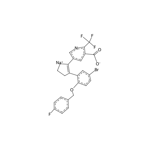 O=C([O-])c1cc(C2=C(c3cc(Br)ccc3OCc3ccc(F)cc3)CCC2)cnc1C(F)(F)F.[Na+]